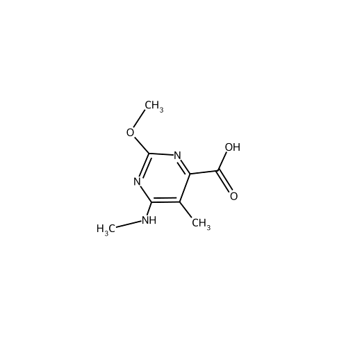 CNc1nc(OC)nc(C(=O)O)c1C